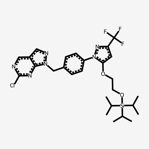 CC(C)[Si](OCCOc1cc(C(F)(F)F)nn1-c1ccc(Cn2ncc3cnc(Cl)nc32)cc1)(C(C)C)C(C)C